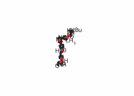 Cc1cc(-c2ncnn3cc(-c4ccc(C(=O)NCCc5ccc(NC6CCC(=O)NC6=O)cc5)cc4)cc23)ccc1CNC(=O)c1noc(C(C)(C)C)n1